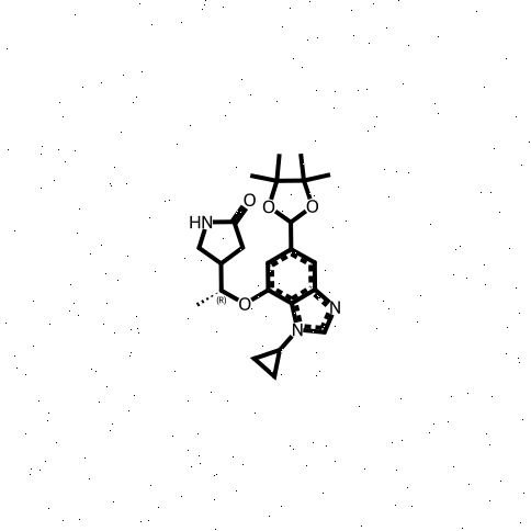 C[C@@H](Oc1cc(C2OC(C)(C)C(C)(C)O2)cc2ncn(C3CC3)c12)C1CNC(=O)C1